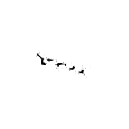 N=C(N)NC(=S)NN/C(N)=N/c1nc(CCl)cs1